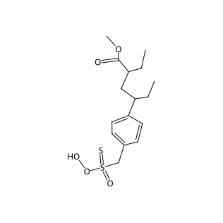 CCC(CC(CC)c1ccc(CS(=O)(=S)OO)cc1)C(=O)OC